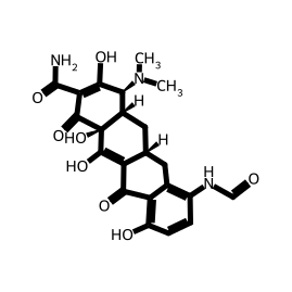 CN(C)[C@@H]1C(O)=C(C(N)=O)C(=O)[C@@]2(O)C(O)=C3C(=O)c4c(O)ccc(NC=O)c4C[C@H]3C[C@@H]12